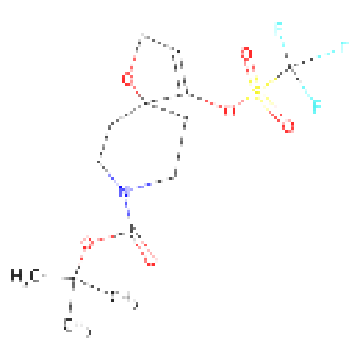 CC(C)(C)OC(=O)N1CCC2(CC1)OCC=C2OS(=O)(=O)C(F)(F)F